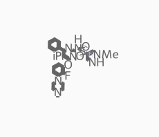 CN/C=C(\C=N)S(=O)(=O)Nc1nc(Oc2cccc(N3CCN(C)CC3)c2F)cc(-c2ccccc2C(C)C)n1